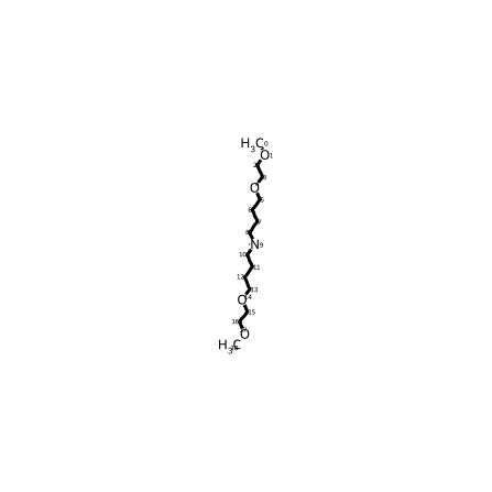 COCCOCCCC[N]CCCCOCCOC